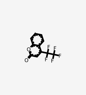 O=c1cc(C(F)(F)C(F)(F)F)c2cc[c]cc2o1